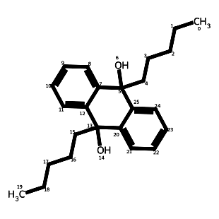 CCCCCC1(O)c2ccccc2C(O)(CCCCC)c2ccccc21